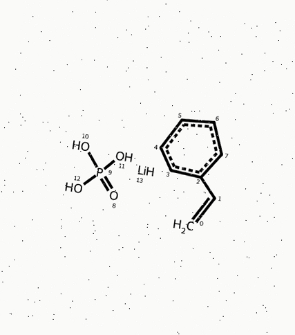 C=Cc1ccccc1.O=P(O)(O)O.[LiH]